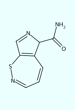 NC(=O)C1N=CC2=C1C=CC=NS2